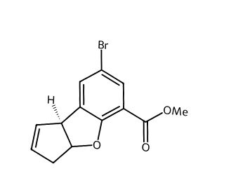 COC(=O)c1cc(Br)cc2c1OC1CC=C[C@@H]21